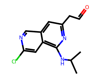 CC(C)Nc1nc(CC=O)cc2cnc(Cl)cc12